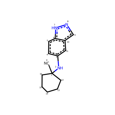 N#CC1(Nc2ccc3[nH]ncc3c2)CCCCC1